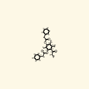 Cc1c(OC(=O)Cc2ccccc2)c(F)c(F)c(C(=O)CF)c1OC(=O)Cc1ccccc1